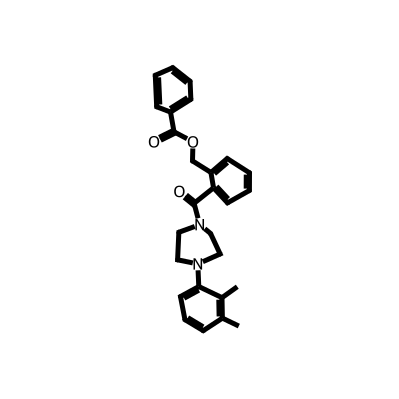 Cc1cccc(N2CCN(C(=O)c3ccccc3COC(=O)c3ccccc3)CC2)c1C